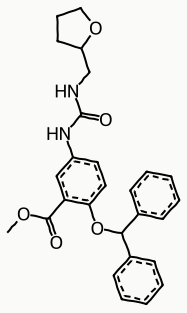 COC(=O)c1cc(NC(=O)NCC2CCCO2)ccc1OC(c1ccccc1)c1ccccc1